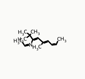 C\C=C/C=C(C)/C=C(\N=C/C)C(C)(C)C